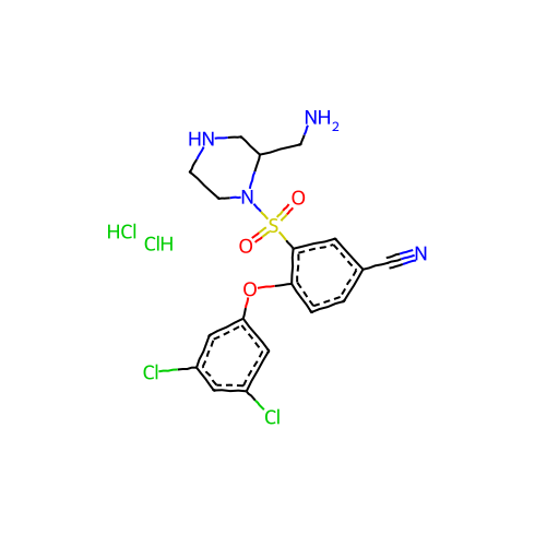 Cl.Cl.N#Cc1ccc(Oc2cc(Cl)cc(Cl)c2)c(S(=O)(=O)N2CCNCC2CN)c1